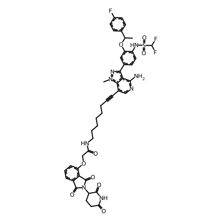 CC(Oc1cc(-c2nn(C)c3c(C#CCCCCCCNC(=O)COc4cccc5c4C(=O)N(C4CCC(=O)NC4=O)C5=O)cnc(N)c23)ccc1NS(=O)(=O)C(F)F)c1ccc(F)cc1